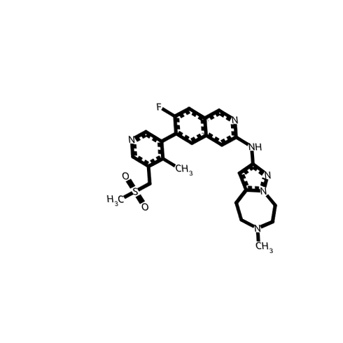 Cc1c(CS(C)(=O)=O)cncc1-c1cc2cc(Nc3cc4n(n3)CCN(C)CC4)ncc2cc1F